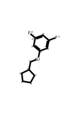 Fc1[c]c(OCC2CCCC2)cc(F)c1